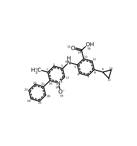 Cc1cc(Nc2ccc(C3CC3)cc2C(=O)O)c[n+]([O-])c1-c1ccccc1